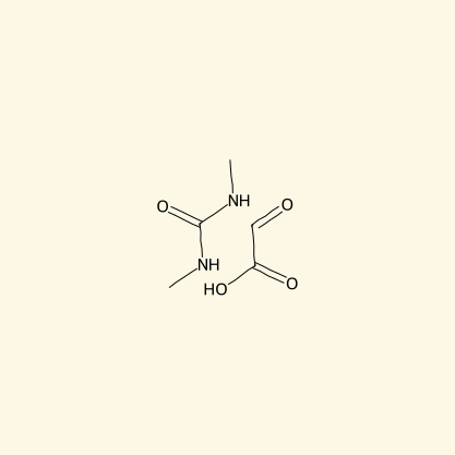 CNC(=O)NC.O=CC(=O)O